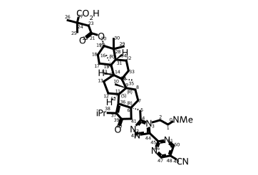 CNCCn1c(C[C@@]23CC[C@]4(C)[C@H](CC[C@@H]5[C@@]6(C)CC[C@H](OC(=O)CC(C)(C)C(=O)O)C(C)(C)[C@@H]6CC[C@]54C)C2=C(C(C)C)C(=O)C3)nnc1-c1ncc(C#N)cn1